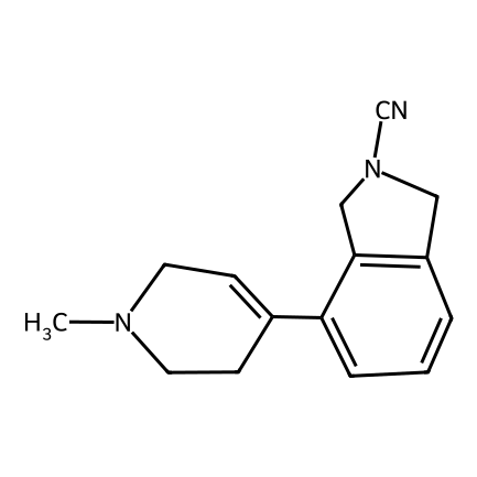 CN1CC=C(c2cccc3c2CN(C#N)C3)CC1